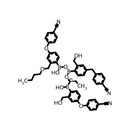 CCCCOCc1cc(Oc2ccc(C#N)cc2)ccc1B(O)OB(O[C@@H](CC)B(O)c1ccc(Oc2ccc(C#N)cc2)cc1CO)c1ccc(Cc2ccc(C#N)cc2)cc1CO